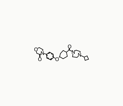 O=C(C1CCC(Oc2ccc(N3CCOCC3=O)cc2)CC1)N1CCN(C2CCC2)CC1